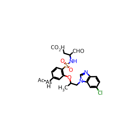 CC(=O)[AsH]c1ccc(S(=O)(=O)NC(C=O)CC(=O)O)c(OC(C)Cn2cnc3ccc(Cl)cc32)c1